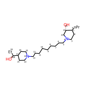 CCCC1CCN(CCCCCCCCCN2CCC([C@@H](O)CC)CC2)C[C@@H]1O